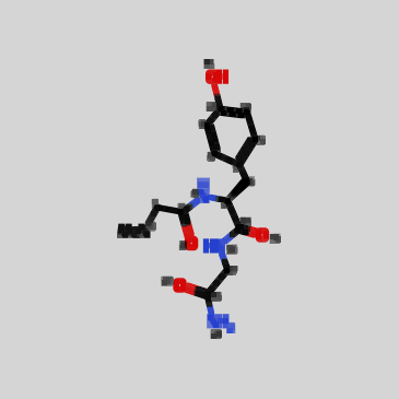 CNCC(=O)N[C@@H](Cc1ccc(O)cc1)C(=O)NCC(N)=O